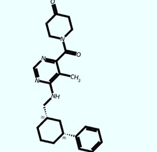 Cc1c(NC[C@H]2CCC[C@@H](c3ccccc3)C2)ncnc1C(=O)N1CCC(=O)CC1